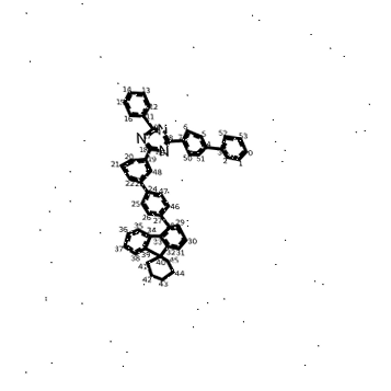 c1ccc(-c2ccc(-c3nc(-c4ccccc4)nc(-c4cccc(-c5ccc(-c6cccc7c6-c6ccccc6C76CCCCC6)cc5)c4)n3)cc2)cc1